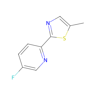 Cc1cnc(-c2ccc(F)cn2)s1